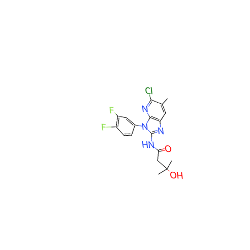 Cc1cc2nc(NC(=O)CC(C)(C)O)n(-c3ccc(F)c(F)c3)c2nc1Cl